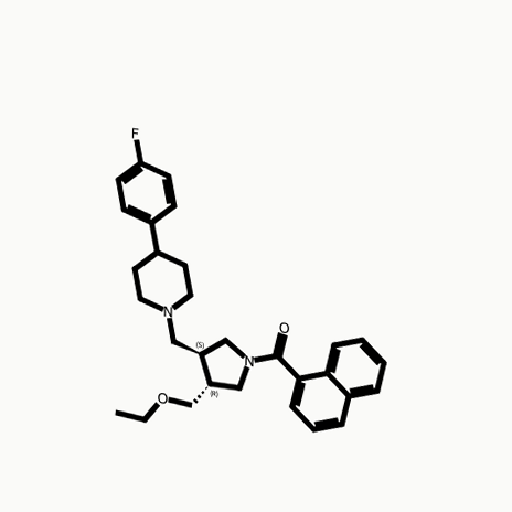 CCOC[C@H]1CN(C(=O)c2cccc3ccccc23)C[C@@H]1CN1CCC(c2ccc(F)cc2)CC1